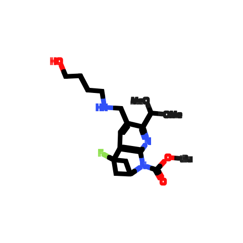 COC(OC)c1nc2c(cc1CNCCCCO)C1(F)CC(C1)N2C(=O)OC(C)(C)C